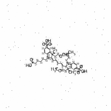 COCC[N+]1=C(/C=C/C=C/C=C2/N(CCCCCC(=O)O)c3ccc(S(=O)(=O)O)cc3C2(C)CCOC)C(C)(CCOC)c2cc(S(=O)(=O)O)ccc21